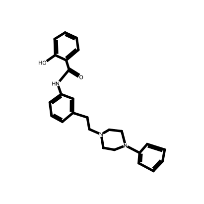 O=C(Nc1cccc(CCN2CCN(c3ccccc3)CC2)c1)c1ccccc1O